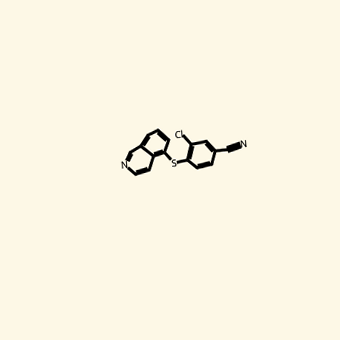 N#Cc1ccc(Sc2cccc3cnccc23)c(Cl)c1